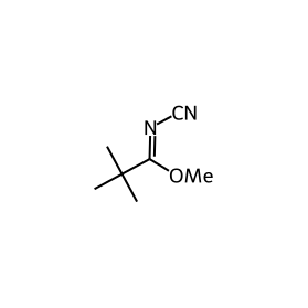 CO/C(=N\C#N)C(C)(C)C